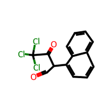 O=CC(C(=O)C(Cl)(Cl)Cl)c1cccc2ccccc12